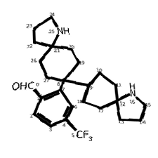 O=Cc1ccc(C(F)(F)F)cc1C1(C2CCC3(CCCN3)CC2)CCC2(CCCN2)CC1